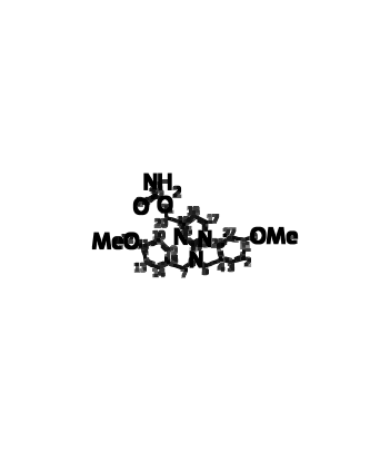 COc1ccc(CN(Cc2ccc(OC)cc2)c2nccc(COC(N)=O)n2)cc1